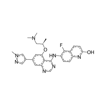 C[C@H](CN(C)C)Oc1cc(-c2cnn(C)c2)cc2ncnc(Nc3ccc4nc(O)ccc4c3F)c12